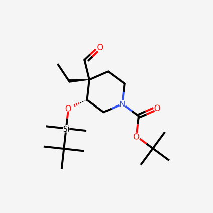 CC[C@@]1(C=O)CCN(C(=O)OC(C)(C)C)C[C@@H]1O[Si](C)(C)C(C)(C)C